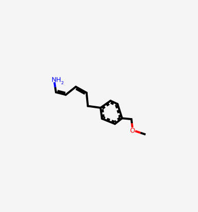 COCc1ccc(C/C=C\C=C/N)cc1